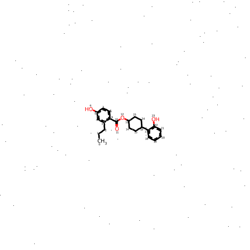 CCCc1cc(O)ccc1C(=O)OC1CCC(c2ccccc2O)CC1